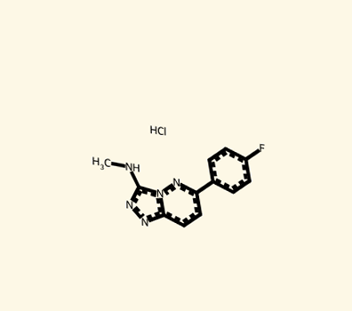 CNc1nnc2ccc(-c3ccc(F)cc3)nn12.Cl